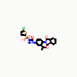 CC(C)c1cc(NC(=O)NS(=O)(=O)c2ccc(Cl)s2)ccc1N1C(=O)c2ccccc2C1=O